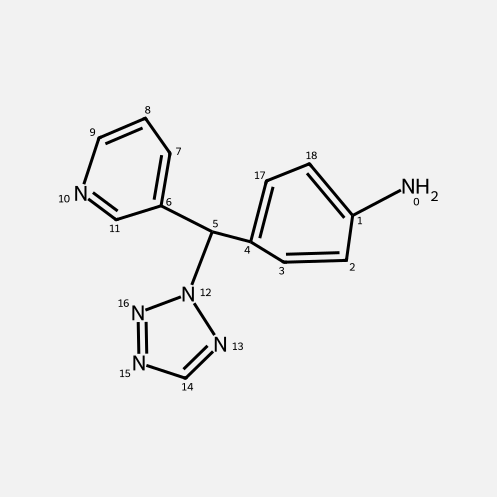 Nc1ccc(C(c2cccnc2)n2ncnn2)cc1